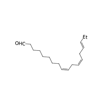 CCC=CC/C=C\C/C=C\CCCCCCCC=O